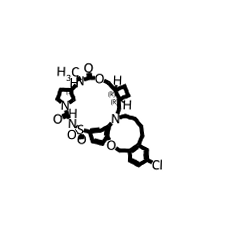 CN1C(=O)OC[C@@H]2CC[C@H]2CN2CCCCc3cc(Cl)ccc3COc3ccc(cc32)S(=O)(=O)NC(=O)N2CC[C@H]1C2